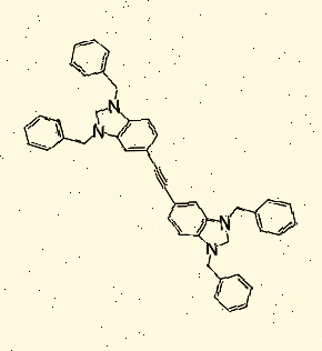 C(#Cc1ccc2c(c1)N(Cc1ccccc1)CN2Cc1ccccc1)c1ccc2c(c1)N(Cc1ccccc1)CN2Cc1ccccc1